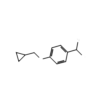 CC(N)c1ccc(OCC2CC2)cc1